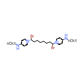 CCCCCCCCNc1cc[n+](C(Br)CCCCCCC(Br)[n+]2ccc(NCCCCCCCC)cc2)cc1